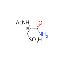 CC(=O)N[C@@H](CS(=O)(=O)O)C(N)=O